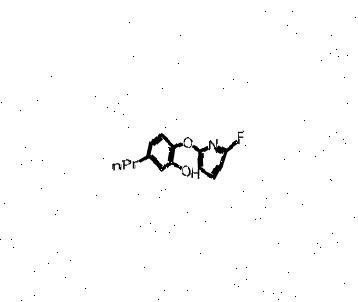 CCCc1ccc(Oc2cccc(F)n2)c(O)c1